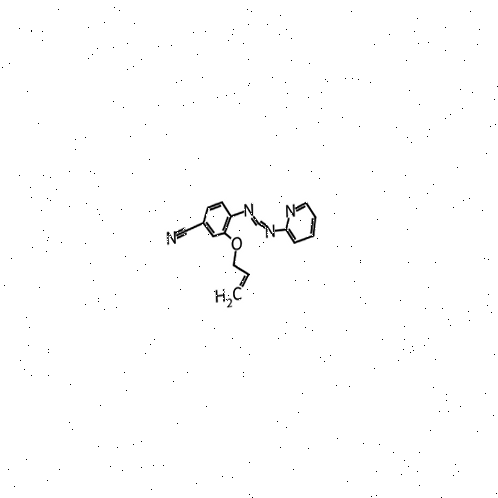 C=CCOc1cc(C#N)ccc1N=C=Nc1ccccn1